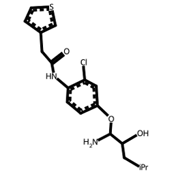 CC(C)CC(O)C(N)Oc1ccc(NC(=O)Cc2ccsc2)c(Cl)c1